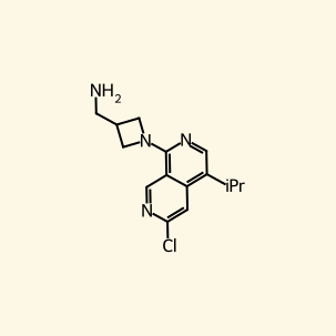 CC(C)c1cnc(N2CC(CN)C2)c2cnc(Cl)cc12